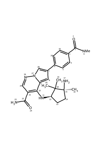 CNC(=O)c1ccc(-c2cc3c(N[C@@H]4CC[C@](C)(N)C4(C)C)c(C(N)=O)cnn3c2)cc1